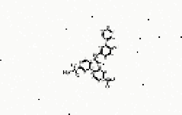 CS(=O)(=O)c1ccc(C(=O)Nc2ccc(Cl)c(-c3ccccn3)c2)c(-c2ccc(C(=O)O)cc2)c1